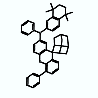 CC1(C)CCC(C)(C)c2cc(N(c3ccccc3)c3ccc4c(c3)C3(c5cccc(-c6ccccc6)c5S4)C4CC5CC6CC3C64C5)ccc21